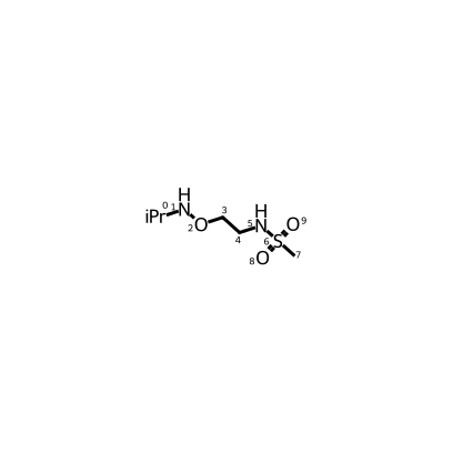 CC(C)NOCCNS(C)(=O)=O